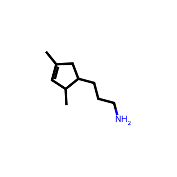 CC1=CC(C)C(CCCN)C1